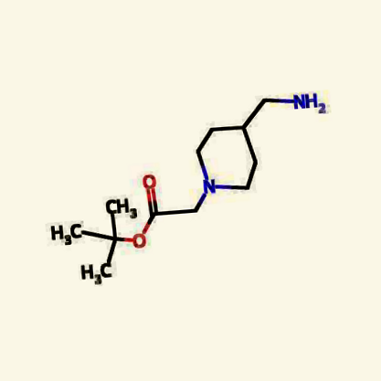 CC(C)(C)OC(=O)CN1CCC(CN)CC1